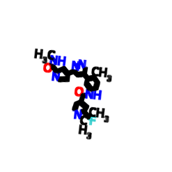 CNC(=O)c1cc(-c2cc(-c3cc(NC(=O)c4ccnc(C(C)(C)F)c4)ccc3C)cnn2)ccn1